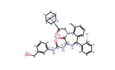 Cc1cccc2c1N(CC(=O)N1CC3CCC(CC3)C1)C(=O)[C@H](NC(=O)Nc1cccc(CO)c1)N=C2c1ccccc1F